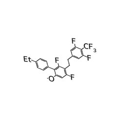 CCc1ccc(-c2c([O])cc(F)c(CCc3cc(F)c(C(F)(F)F)c(F)c3)c2F)cc1